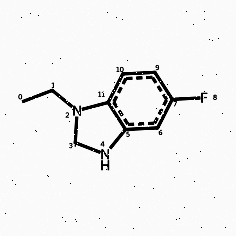 CCN1[CH]Nc2cc(F)ccc21